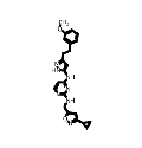 COc1cccc(CCc2cc(Nc3ccnc(NCc4cc(C5CC5)no4)n3)[nH]n2)c1